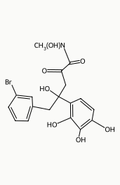 CN(O)C(=O)C(=O)CC(O)(Cc1cccc(Br)c1)c1ccc(O)c(O)c1O